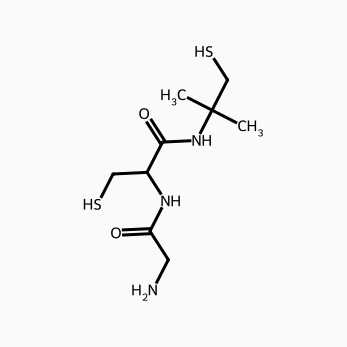 CC(C)(CS)NC(=O)C(CS)NC(=O)CN